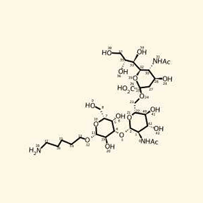 CC(=O)N[C@H]1[C@H](O[C@H]2[C@@H](O)[C@@H](CO)O[C@@H](OCCCCCN)[C@@H]2O)O[C@H](CO[C@]2(C(=O)O)C[C@H](O)[C@@H](NC(C)=O)[C@H]([C@H](O)[C@H](O)CO)O2)[C@@H](O)[C@@H]1O